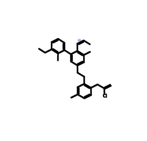 C=C(Cl)Cc1ccc(C)cc1CCc1cc(C)c(/C=C\C)c(-c2cccc(CC)c2C)c1